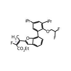 CCOC(=O)/C(F)=C(/C)c1cc2cccc(-c3cc(C(C)C)cc(C(C)C)c3OCC(F)F)c2o1